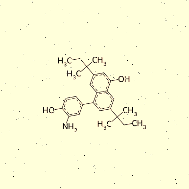 CCC(C)(C)c1cc(-c2ccc(O)c(N)c2)c2cc(C(C)(C)CC)cc(O)c2c1